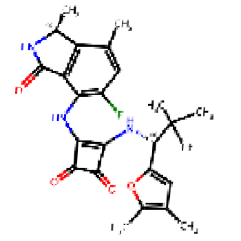 CCC(C)(C)[C@@H](Nc1c(Nc2c(F)cc(C)c3c2C(=O)N[C@H]3C)c(=O)c1=O)c1cc(C)c(C)o1